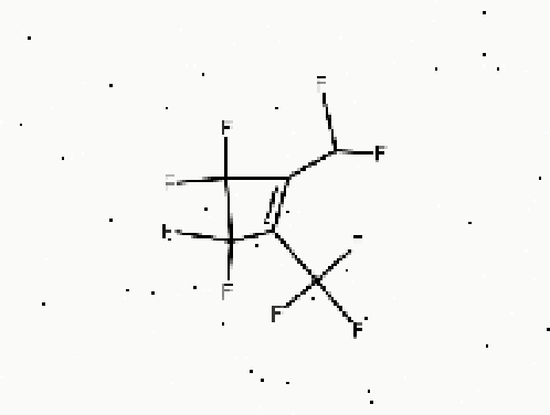 FC(F)C1=C(C(F)(F)F)C(F)(F)C1(F)F